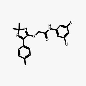 Cc1ccc(C2=NC(C)(C)N=C2SCC(=O)Nc2cc(Cl)cc(Cl)c2)cc1